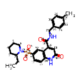 CCC1CCCCN1S(=O)(=O)c1ccc2[nH]c(=O)cc(C(=O)NCc3ccc(C)cc3)c2c1